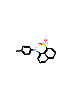 Cc1ccc(Nc2cc[c]c3cccc([SH](=O)=O)c23)cc1